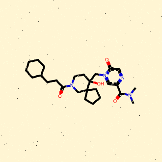 CN(C)C(=O)c1cn(CC2(O)CCN(C(=O)CCC3CCCCC3)CC23CCCC3)c(=O)cn1